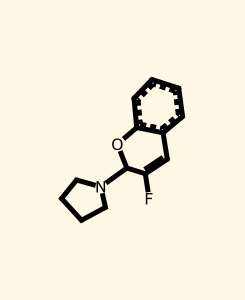 FC1=Cc2ccccc2OC1N1CCCC1